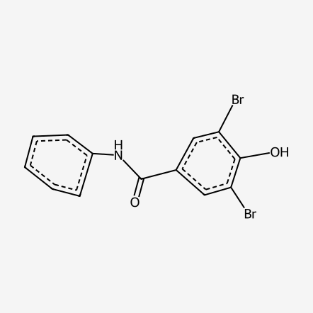 O=C(Nc1ccccc1)c1cc(Br)c(O)c(Br)c1